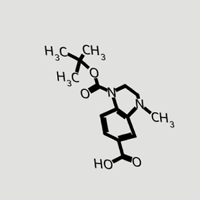 CN1CCN(C(=O)OC(C)(C)C)c2ccc(C(=O)O)cc21